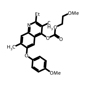 CCc1nc2cc(C)c(Oc3ccc(OC)cc3)cc2c(OC(=O)OCCOC)c1C